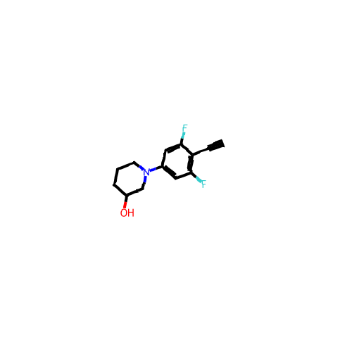 C#Cc1c(F)cc(N2CCCC(O)C2)cc1F